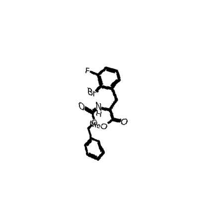 COC(=O)C(Cc1cccc(F)c1Br)NC(=O)OCc1ccccc1